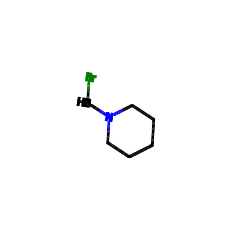 BrBN1CCCCC1